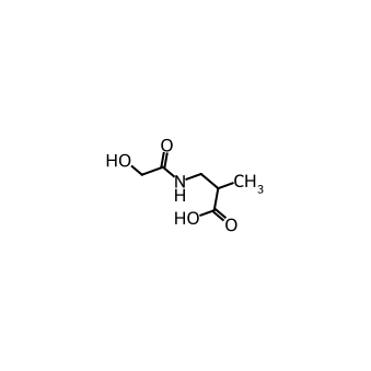 CC(CNC(=O)CO)C(=O)O